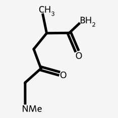 BC(=O)C(C)CC(=O)CNC